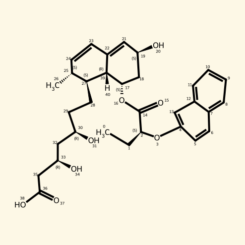 CC[C@H](Oc1ccc2ccccc2c1)C(=O)O[C@H]1C[C@H](O)C=C2C=C[C@@H](C)[C@H](CC[C@@H](O)C[C@@H](O)CC(=O)O)[C@H]21